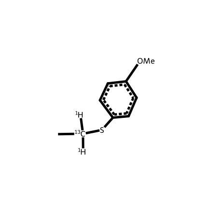 [1H][13C]([1H])(C)Sc1ccc(OC)cc1